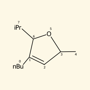 CCCCC1=CC(C)OC1C(C)C